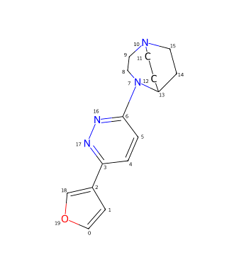 c1cc(-c2ccc(N3CCN4CCC3CC4)nn2)co1